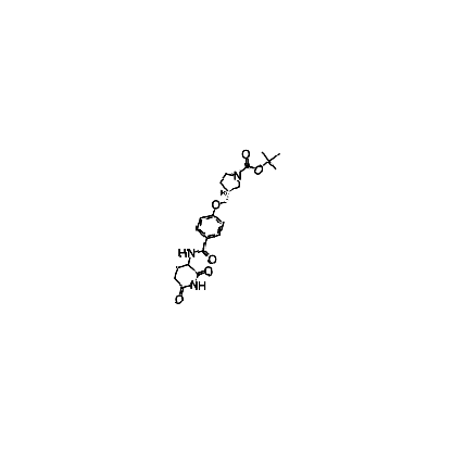 CC(C)(C)OC(=O)N1CC[C@@H](COc2ccc(C(=O)NC3CCC(=O)NC3=O)cc2)C1